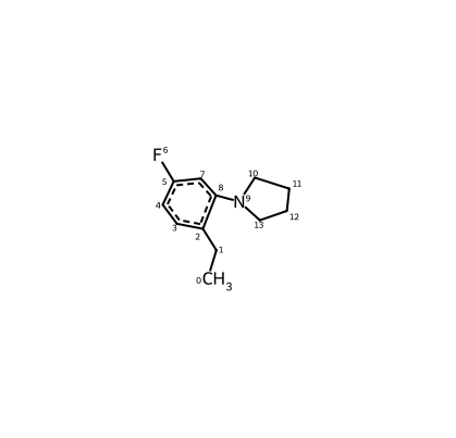 CCc1ccc(F)cc1N1CCCC1